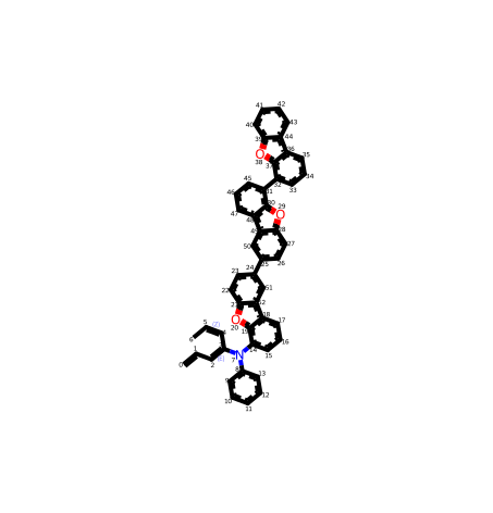 C=C/C=C(\C=C/C)N(c1ccccc1)c1cccc2c1oc1ccc(-c3ccc4oc5c(-c6cccc7c6oc6ccccc67)cccc5c4c3)cc12